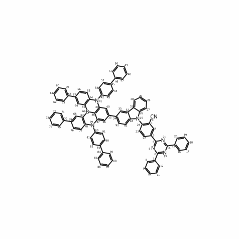 N#Cc1cc(-c2nc(-c3ccccc3)nc(-c3ccccc3)n2)ccc1-n1c2ccccc2c2cc(-c3cc4c5c(c3)N(c3ccc(-c6ccccc6)cc3)c3ccc(-c6ccccc6)cc3B5c3cc(-c5ccccc5)ccc3N4c3ccc(-c4ccccc4)cc3)ccc21